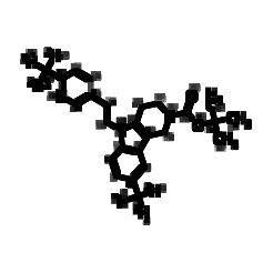 [2H]C([2H])([2H])c1ccc2c(c1)c1c(n2/C=C/c2ccc(C([2H])([2H])[2H])nc2)CCN(C(=O)OC(C)(C)C)C1